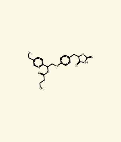 CCCC(=O)OC(COc1ccc(CC2SC(=O)NC2=O)cc1)c1ccc(CC)cn1